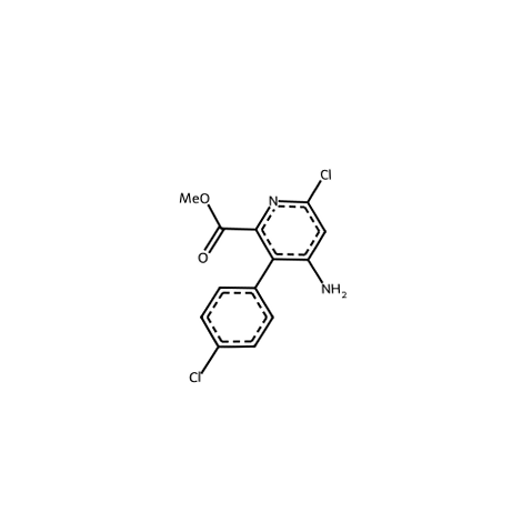 COC(=O)c1nc(Cl)cc(N)c1-c1ccc(Cl)cc1